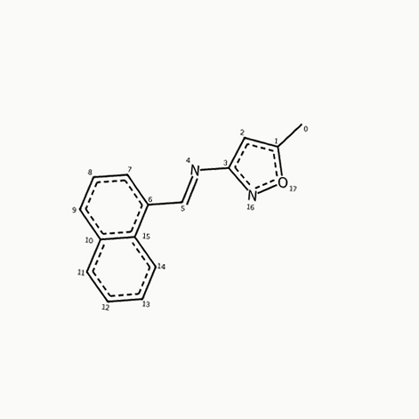 Cc1cc(/N=C/c2cccc3ccccc23)no1